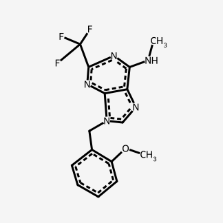 CNc1nc(C(F)(F)F)nc2c1ncn2Cc1ccccc1OC